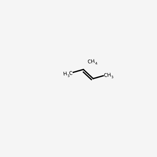 C.C/C=C/C